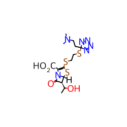 CC(O)[C@H]1C(=O)N2C(C(=O)O)=C(SCCSC3(CCN(C)C)N=NN=N3)S[C@H]12